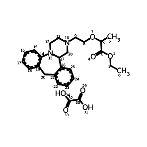 CCOC(=O)C(C)OCCN1CCN2c3ccccc3Cc3ccccc3C2C1.O=C(O)C(=O)O